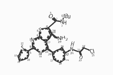 CC(C)(C)NC(=O)c1sc2nc(-c3cccs3)nc(-c3cccc(NC(=O)CCl)c3)c2c1N